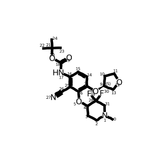 CN1CCC(Oc2c(O[C@H]3CCOC3)ccc(NC(=O)OC(C)(C)C)c2C#N)C(F)(F)C1